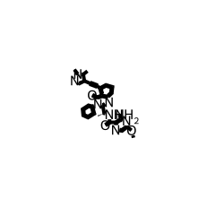 COc1cnc(C(=O)N[C@H](C)c2nc3cccc(C#CC4C=NN(C)C4C)c3c(=O)n2-c2ccccc2)c(N)n1